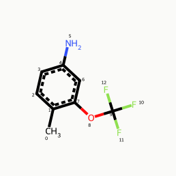 Cc1ccc(N)cc1OC(F)(F)F